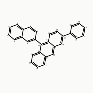 [c]1cc2ccccc2cc1-c1c2ccccc2cc2cc(-c3ccccc3)ccc12